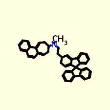 CN(CCC1C=C2C(=CC1)C1(c3ccccc32)c2ccccc2-c2ccccc21)C1CC=c2ccc3ccccc3c2=CC1